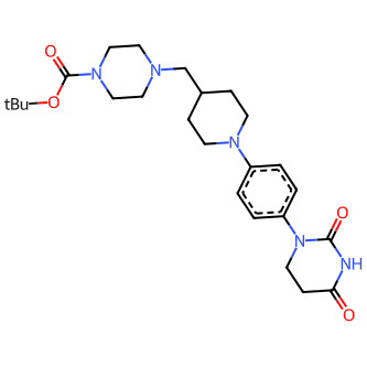 CC(C)(C)OC(=O)N1CCN(CC2CCN(c3ccc(N4CCC(=O)NC4=O)cc3)CC2)CC1